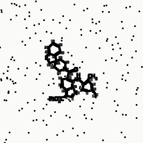 CCOC(=O)c1cnn2c(Nc3ccc(F)cc3C)c(C(=O)N3CCC4(CC3)CSc3ccccc34)cnc12